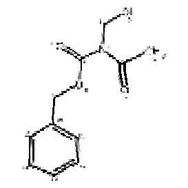 CC(=O)N(CO)C(=O)OCc1ccccc1